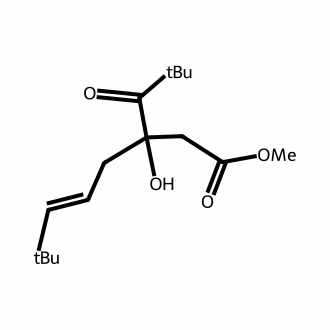 COC(=O)CC(O)(C/C=C/C(C)(C)C)C(=O)C(C)(C)C